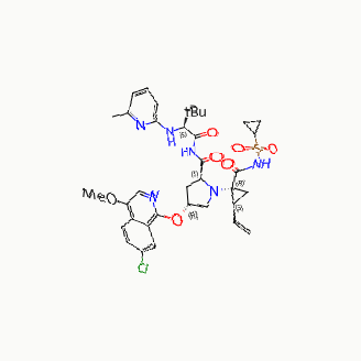 C=C[C@@H]1C[C@@]1(C(=O)NS(=O)(=O)C1CC1)N1C[C@H](Oc2ncc(OC)c3ccc(Cl)cc23)C[C@H]1C(=O)NC(=O)[C@@H](Nc1cccc(C)n1)C(C)(C)C